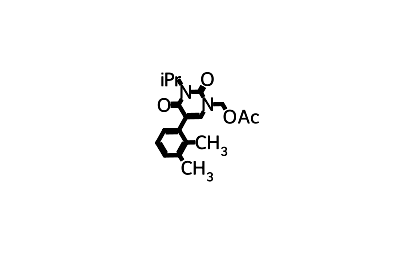 CC(=O)OCn1cc(-c2cccc(C)c2C)c(=O)n(C(C)C)c1=O